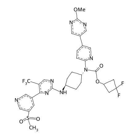 COc1ncc(-c2ccc(N(C(=O)OC3CC(F)(F)C3)[C@H]3CC[C@H](Nc4ncc(C(F)(F)F)c(-c5cncc(S(C)(=O)=O)c5)n4)CC3)nc2)cn1